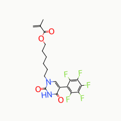 C=C(C)C(=O)OCCCCCCn1cc(-c2c(F)c(F)c(F)c(F)c2F)c(=O)[nH]c1=O